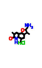 Cc1cc2c3c(cc(C)c2[nH]c1=O)C(C)C(CN)O3.Cl